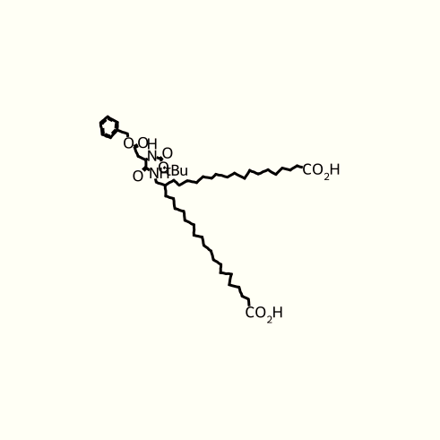 CC(C)(C)OC(=O)NC(CC(=O)OCc1ccccc1)C(=O)NCC(CCCCCCCCCCCCCCCCCCC(=O)O)CCCCCCCCCCCCCCCCCC(=O)O